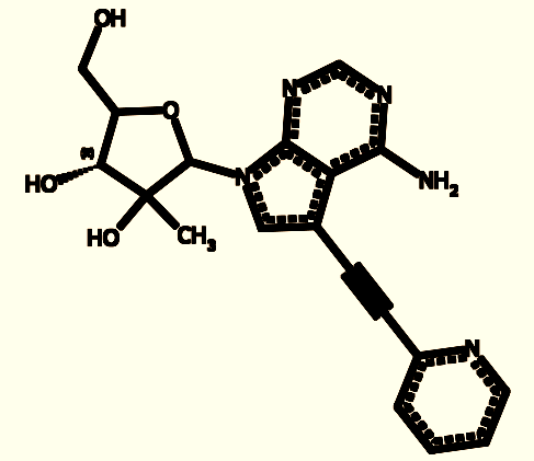 CC1(O)C(n2cc(C#Cc3ccccn3)c3c(N)ncnc32)OC(CO)[C@H]1O